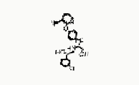 Cl.N#Cc1cccnc1Oc1ccc(C[C@@H](CO)NC[C@H](O)c2cccc(Cl)c2)cc1